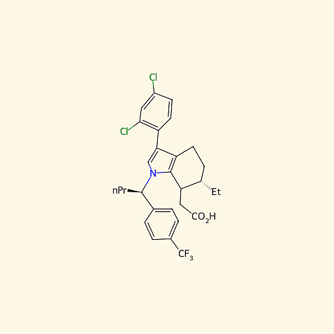 CCC[C@H](c1ccc(C(F)(F)F)cc1)n1cc(-c2ccc(Cl)cc2Cl)c2c1C(CC(=O)O)[C@@H](CC)CC2